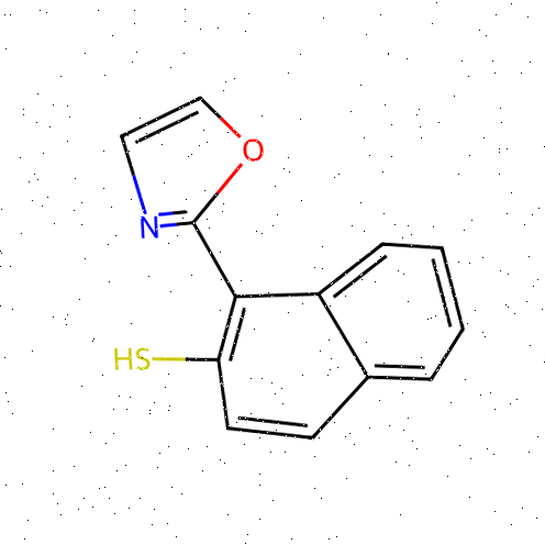 Sc1ccc2ccccc2c1-c1ncco1